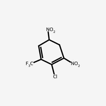 O=[N+]([O-])C1=C(Cl)C(C(F)(F)F)=CC([N+](=O)[O-])C1